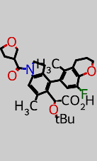 Cc1cc2c(c(-c3cc(F)c4c(c3C)CCCO4)c1[C@H](OC(C)(C)C)C(=O)O)CCN2C(=O)C1CCOC1